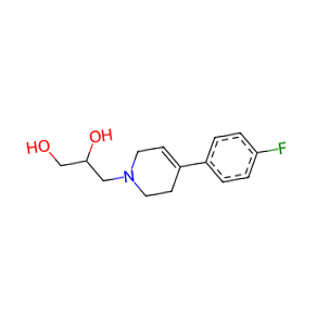 OCC(O)CN1CC=C(c2ccc(F)cc2)CC1